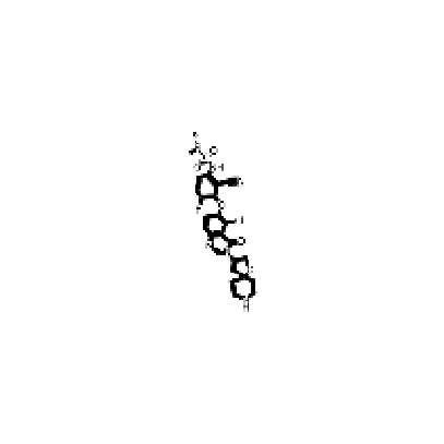 CCN(C)S(=O)(=O)Nc1ccc(F)c(Oc2ccc3ncn(C4COC5(CCNCC5)C4)c(=O)c3c2Cl)c1C#N